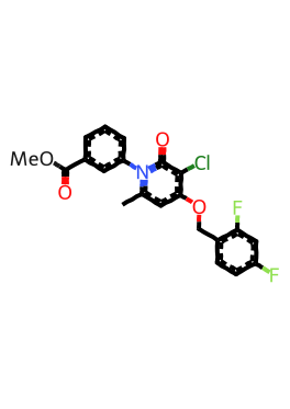 COC(=O)c1cccc(-n2c(C)cc(OCc3ccc(F)cc3F)c(Cl)c2=O)c1